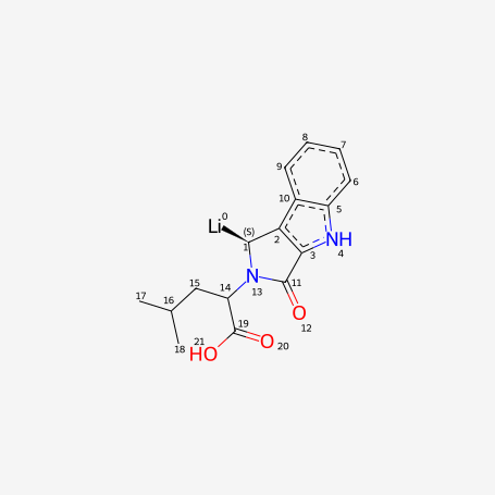 [Li][C@H]1c2c([nH]c3ccccc23)C(=O)N1C(CC(C)C)C(=O)O